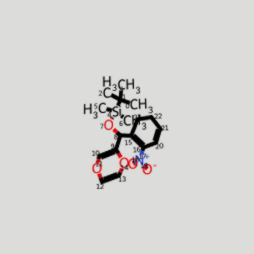 CC(C)(C)[Si](C)(C)OC(C1=COC=CO1)C1=C([N+](=O)[O-])C=CCC1